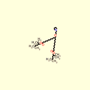 CC(C)CCC(COC(=O)CCCCCCCCCC(CCCCCCCCCC(=O)OCC(CCC(C)C)C(C)C)COCCCN1CCCC1)C(C)C